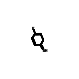 N=C1C=CC(F)=CC1